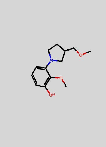 COCC1CCN(c2cccc(O)c2OC)C1